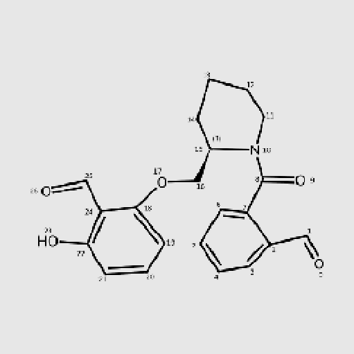 O=Cc1ccccc1C(=O)N1CCCC[C@@H]1COc1cccc(O)c1C=O